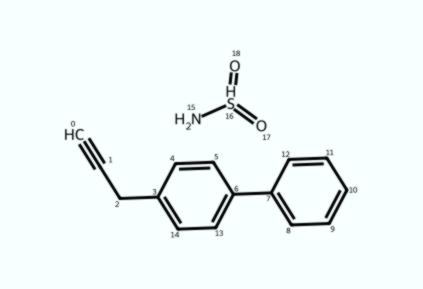 C#CCc1ccc(-c2ccccc2)cc1.N[SH](=O)=O